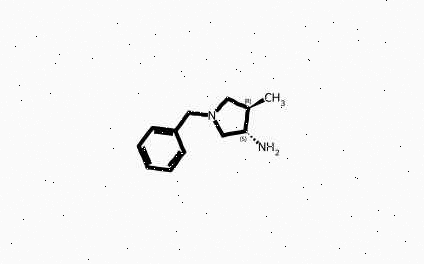 C[C@@H]1CN(Cc2ccccc2)C[C@H]1N